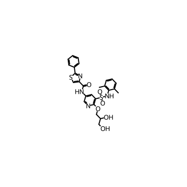 Cc1cccc(C)c1NS(=O)(=O)c1cc(NC(=O)c2csc(-c3ccccc3)n2)cnc1OCC(O)CO